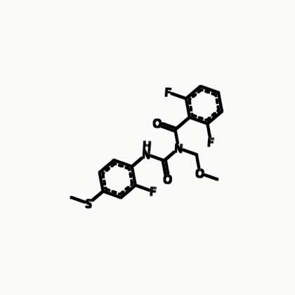 COCN(C(=O)Nc1ccc(SC)cc1F)C(=O)c1c(F)cccc1F